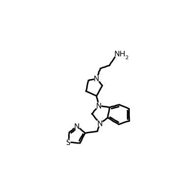 NCCN1CCC(N2CN(Cc3cscn3)c3ccccc32)C1